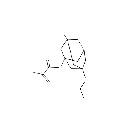 C=C(C)C(=O)OC12CC3CC(O)(CC(OCC)(C3)C1)C2